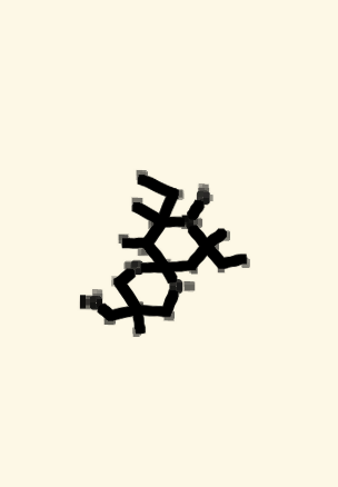 CCC1(C)CC2(OCC(C)(CO)CO2)C(C)C(C)(CC)N1[O]